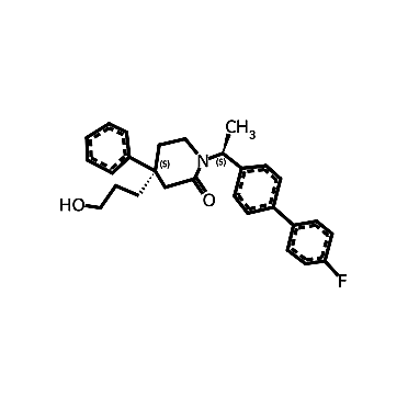 C[C@@H](c1ccc(-c2ccc(F)cc2)cc1)N1CC[C@](CCCO)(c2ccccc2)CC1=O